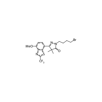 COc1ccc(C2=NN(CCCCBr)C(=O)C2(C)C)c2sc(C(F)(F)F)nc12